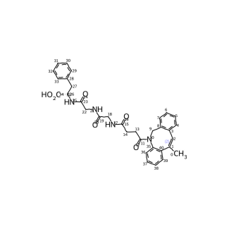 C/C1=C/c2ccccc2CN(C(=O)CCC(=O)NCC(=O)NCC(=O)N[C@@H](Cc2ccccc2)C(=O)O)c2ccccc21